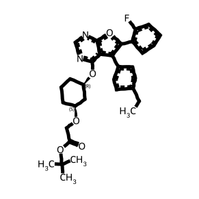 CCc1ccc(-c2c(-c3ccccc3F)oc3ncnc(O[C@@H]4CCC[C@H](OCC(=O)OC(C)(C)C)C4)c23)cc1